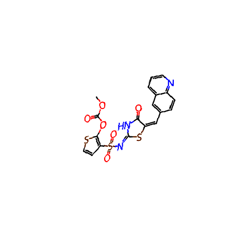 COC(=O)Oc1sccc1S(=O)(=O)N=C1NC(=O)C(=Cc2ccc3ncccc3c2)S1